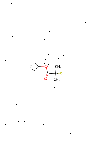 CC(C)([S])C(=O)OC1CCC1